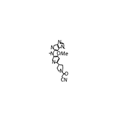 COc1cc(C2CCN(C(=O)CC#N)CC2)ncc1N(C)c1cc2c(cn1)ncn2C